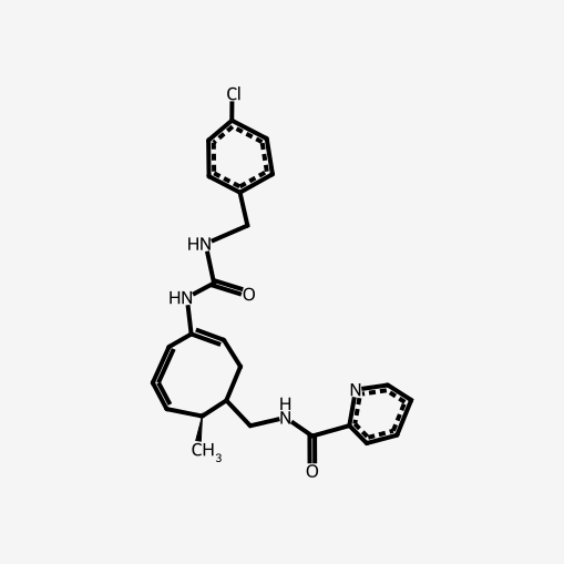 C[C@H]1C=C=C/C(NC(=O)NCc2ccc(Cl)cc2)=C\CC1CNC(=O)c1ccccn1